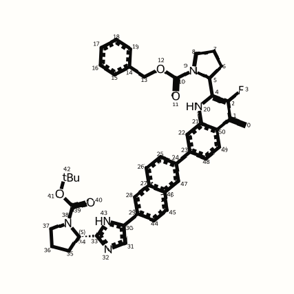 C=C1C(F)=C(C2CCCN2C(=O)OCc2ccccc2)Nc2cc(-c3ccc4cc(-c5cnc([C@@H]6CCCN6C(=O)OC(C)(C)C)[nH]5)ccc4c3)ccc21